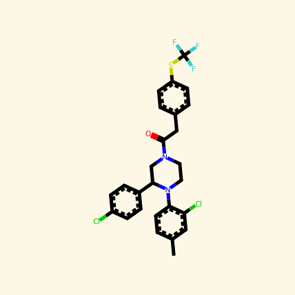 Cc1ccc(N2CCN(C(=O)Cc3ccc(SC(F)(F)F)cc3)CC2c2ccc(Cl)cc2)c(Cl)c1